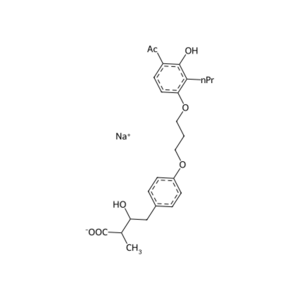 CCCc1c(OCCCOc2ccc(CC(O)C(C)C(=O)[O-])cc2)ccc(C(C)=O)c1O.[Na+]